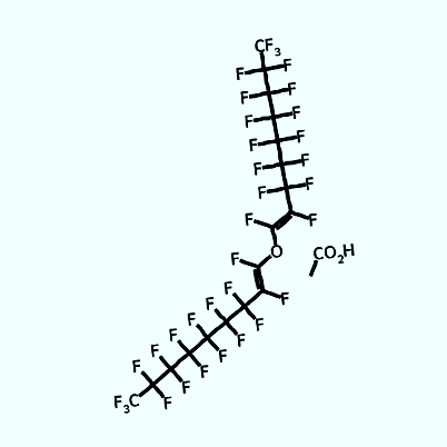 CC(=O)O.FC(OC(F)=C(F)C(F)(F)C(F)(F)C(F)(F)C(F)(F)C(F)(F)C(F)(F)C(F)(F)F)=C(F)C(F)(F)C(F)(F)C(F)(F)C(F)(F)C(F)(F)C(F)(F)C(F)(F)F